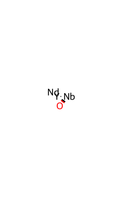 [Nd].[O]=[Nb].[Y]